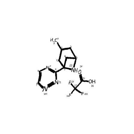 CC1CC2CC(c3nccnn3)(C1)N2.O=C(O)C(F)(F)F